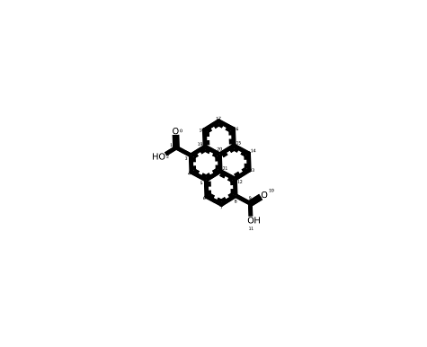 O=C(O)c1cc2ccc(C(=O)O)c3ccc4cccc1c4c23